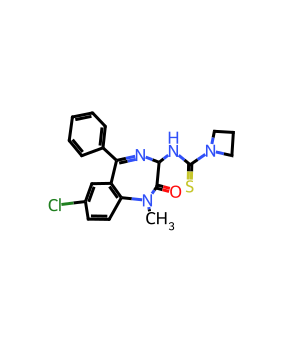 CN1C(=O)C(NC(=S)N2CCC2)N=C(c2ccccc2)c2cc(Cl)ccc21